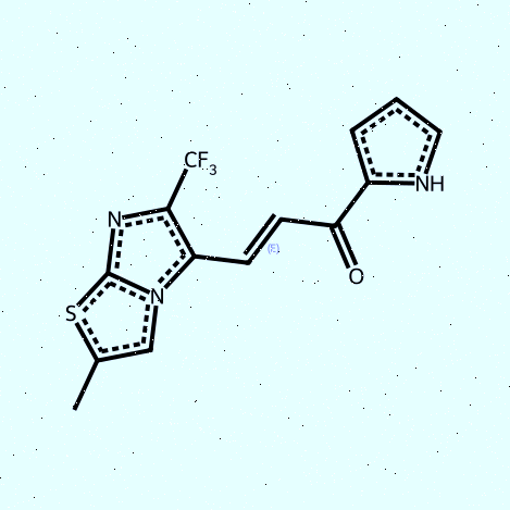 Cc1cn2c(/C=C/C(=O)c3ccc[nH]3)c(C(F)(F)F)nc2s1